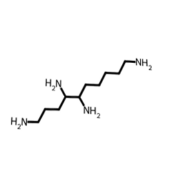 NCCCCCC(N)C(N)CCCN